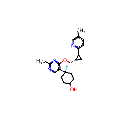 Cc1ccc(C2C[C@@H]2COc2nc(C)ncc2C2(F)CCC(O)CC2)nc1